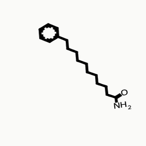 NC(=O)CCCCCCCCCCc1ccccc1